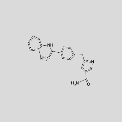 NC(=O)c1cnn(Cc2ccc(C(=O)Nc3ccccc3N)cc2)c1